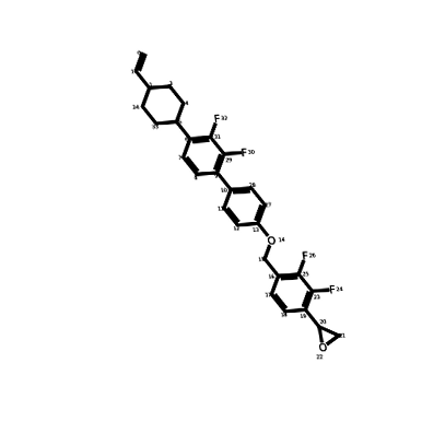 C=CC1CCC(c2ccc(-c3ccc(OCc4ccc(C5CO5)c(F)c4F)cc3)c(F)c2F)CC1